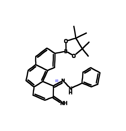 CC1(C)OB(c2ccc3ccc4c(c3c2)/C(=N/Nc2ccccc2)C(=N)C=C4)OC1(C)C